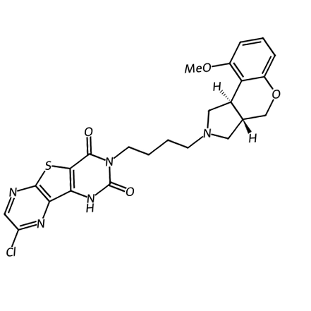 COc1cccc2c1[C@@H]1CN(CCCCn3c(=O)[nH]c4c(sc5ncc(Cl)nc54)c3=O)C[C@H]1CO2